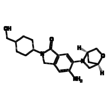 Nc1cc2c(cc1N1C[C@H]3C[C@@H]1CO3)C(=O)N(C1CCC(CO)CC1)C2